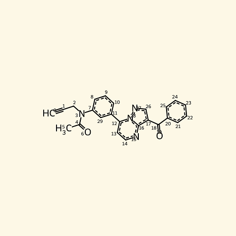 C#CCN(C(C)=O)c1cccc(-c2ccnc3c(C(=O)c4ccccc4)cnn23)c1